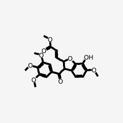 COC(=O)/C=C/C1Oc2c(ccc(OC)c2O)C1C(=O)c1cc(OC)c(OC)c(OC)c1